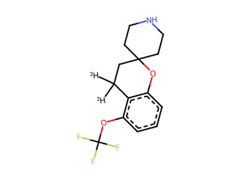 [2H]C1([2H])CC2(CCNCC2)Oc2cccc(OC(F)(F)F)c21